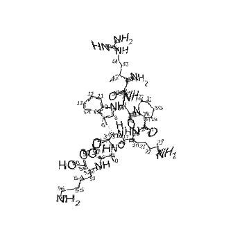 C[C@H](NC(=O)[C@H](Cc1c[nH]c2ccccc12)NC(=O)[C@H](CCCCN)NC(=O)[C@@H]1CCCCN1C(=O)CNC(=O)[C@@H](N)CCCNC(=N)N)C(=O)N[C@@H](CCCCN)C(=O)O